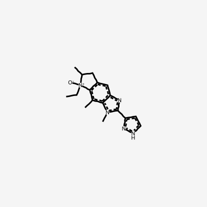 CC[N+]1([O-])c2c(cc3nc(-c4cc[nH]n4)n(C)c3c2C)CC1C